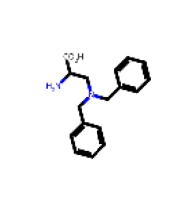 NC(CN(Cc1ccccc1)Cc1ccccc1)C(=O)O